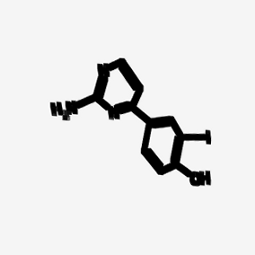 Nc1nccc(-c2ccc(O)c(I)c2)n1